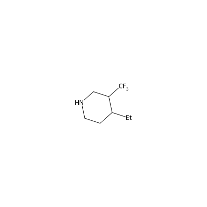 [CH2]CC1CCNCC1C(F)(F)F